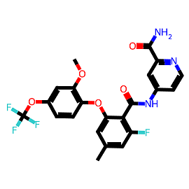 COc1cc(OC(F)(F)F)ccc1Oc1cc(C)cc(F)c1C(=O)Nc1ccnc(C(N)=O)c1